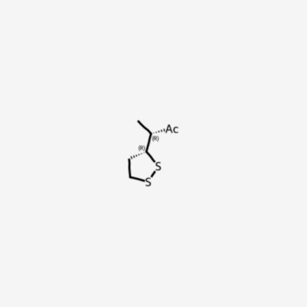 CC(=O)[C@@H](C)[C@H]1CCSS1